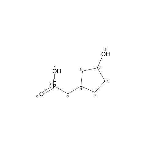 O=[PH](O)CC1CCC(O)C1